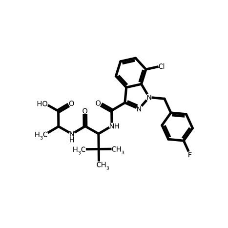 CC(NC(=O)C(NC(=O)c1nn(Cc2ccc(F)cc2)c2c(Cl)cccc12)C(C)(C)C)C(=O)O